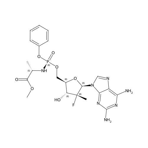 COC(=O)[C@H](C)N[P@@](=O)(OC[C@H]1O[C@@H](n2cnc3c(N)nc(N)nc32)[C@](C)(F)[C@@H]1O)Oc1ccccc1